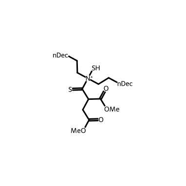 CCCCCCCCCCCC[N+](S)(CCCCCCCCCCCC)C(=S)C(CC(=O)OC)C(=O)OC